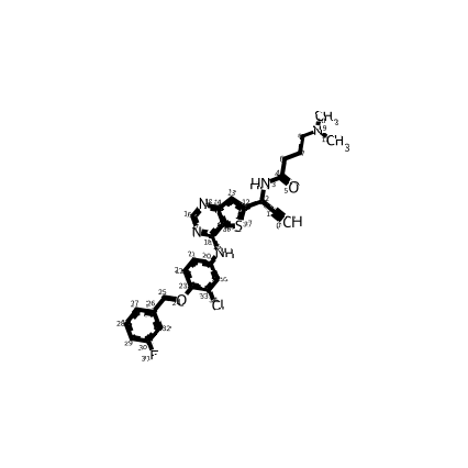 C#CC(NC(=O)CCCN(C)C)c1cc2ncnc(Nc3ccc(OCc4cccc(F)c4)c(Cl)c3)c2s1